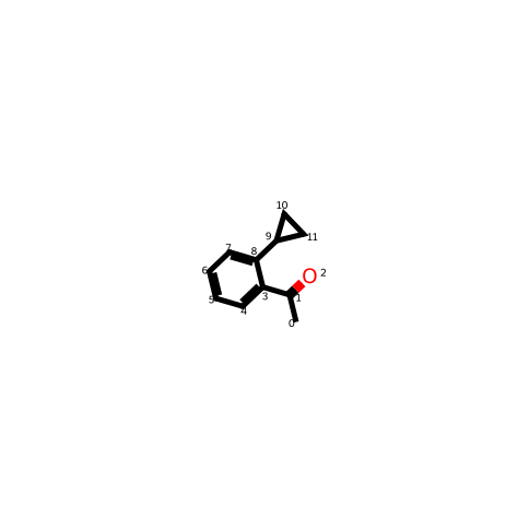 CC(=O)c1ccccc1C1CC1